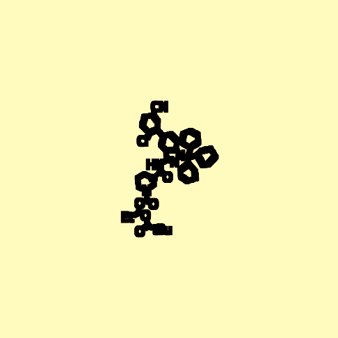 CCC(OC(=O)N1CCC[C@@H](C(=O)Nc2nn(C(c3ccccc3)(c3ccccc3)c3ccccc3)c3ccc(-c4cc(C#N)ccc4Cl)cc23)C1)OC(=O)C(C)(C)C